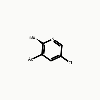 CC[C@H](C)c1ncc(Cl)cc1C(C)=O